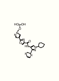 O=C(Nc1cn(C2CCCCC2)nc1-c1cnccn1)c1coc(-c2cnn(COP(O)O)c2)n1